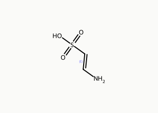 N/C=C/S(=O)(=O)O